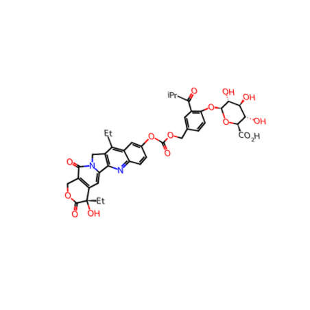 CCc1c2c(nc3ccc(OC(=O)OCc4ccc(O[C@@H]5O[C@H](C(=O)O)[C@@H](O)[C@H](O)[C@H]5O)c(C(=O)C(C)C)c4)cc13)-c1cc3c(c(=O)n1C2)COC(=O)[C@]3(O)CC